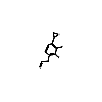 O=CCc1ccc(C2CO2)c(F)c1F